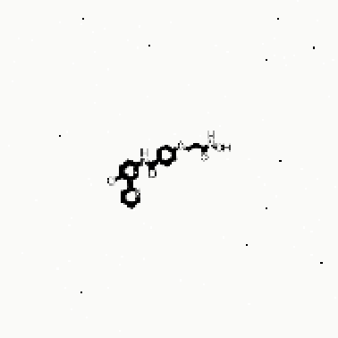 O=C(CCOc1ccc(C(=O)Nc2ccc(Cl)c(-c3ccccn3)c2)cc1)NO